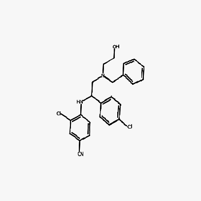 N#Cc1ccc(NC(CN(CCO)Cc2ccccc2)c2ccc(Cl)cc2)c(Cl)c1